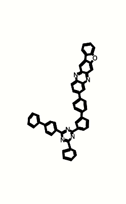 c1ccc(-c2ccc(-c3nc(-c4ccccc4)nc(-c4cccc(-c5ccc(-c6ccc7nc8cc9c(cc8nc7c6)oc6ccccc69)cc5)c4)n3)cc2)cc1